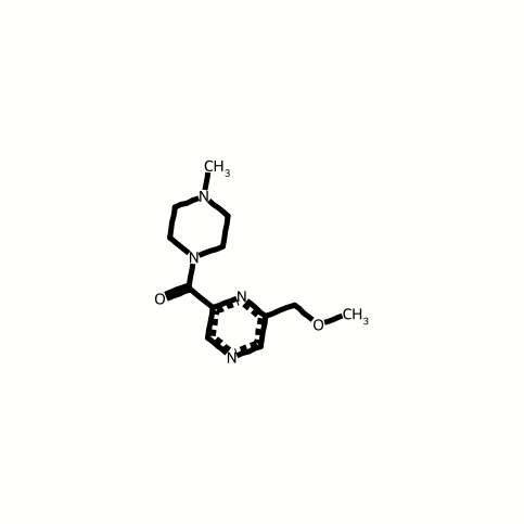 COCc1cncc(C(=O)N2CCN(C)CC2)n1